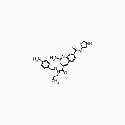 CCCN(OCc1ccc(N)cc1)C(=O)C1=Cc2ccc(C(=O)NC3CCNC3)cc2N=C(N)C1